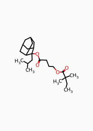 CCC(C)(C)C(=O)OCCCC(=O)OC1(CC(C)C)C2CC3CC(C2)CC1C3